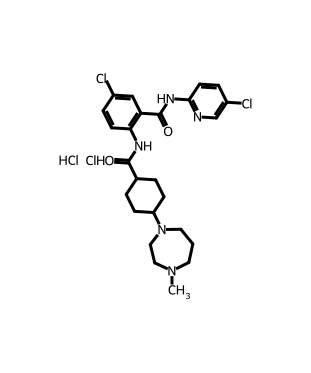 CN1CCCN(C2CCC(C(=O)Nc3ccc(Cl)cc3C(=O)Nc3ccc(Cl)cn3)CC2)CC1.Cl.Cl